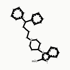 COc1nc2ccccc2n1C1CCN(CCCC(c2ccccc2)c2ccccc2)CC1